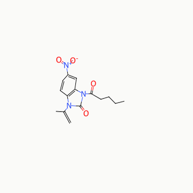 C=C(C)n1c(=O)n(C(=O)CCCC)c2cc([N+](=O)[O-])ccc21